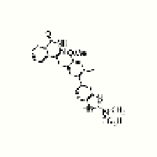 COc1cc(F)c(-c2ccc3[nH]c(N(C)C(=O)O)nc3c2)cc1Cc1n[nH]c(=O)c2ccccc12